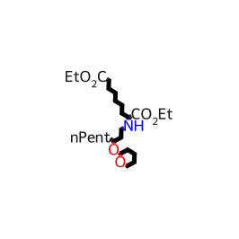 CCCCCC(CCNC(CCCCCCC(=O)OCC)C(=O)OCC)OC1CCCCO1